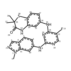 Cn1ncc2ccc(Nc3ncc(F)c(Nc4ccc5c(c4)NC(=O)C(C)(C)S5)n3)cc21